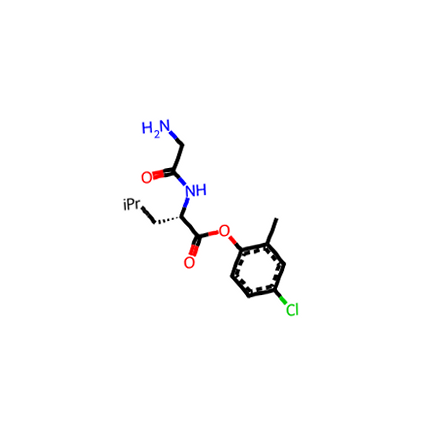 Cc1cc(Cl)ccc1OC(=O)[C@H](CC(C)C)NC(=O)CN